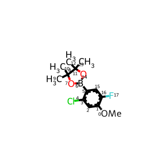 COc1cc(Cl)c(B2OC(C)(C)C(C)(C)O2)cc1F